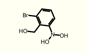 OCc1c(Br)cccc1N(O)O